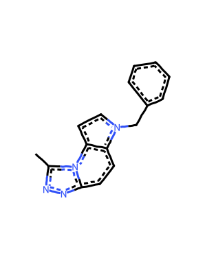 Cc1nnc2ccc3c(ccn3Cc3ccccc3)n12